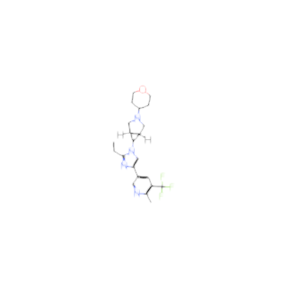 CCc1nc(-c2cnc(C)c(C(F)(F)F)c2)cn1[C@H]1[C@@H]2CN(C3CCOCC3)C[C@@H]21